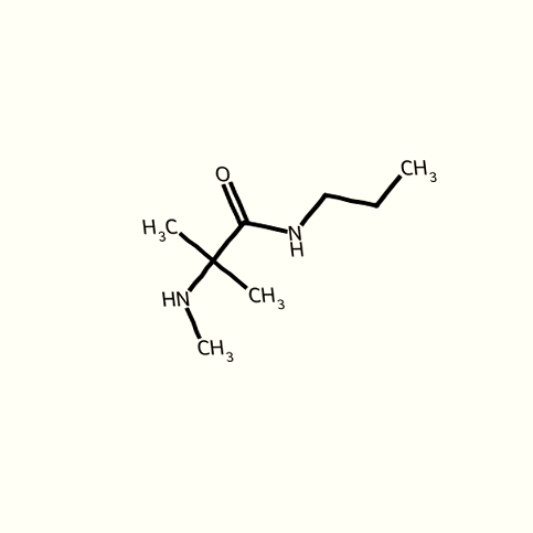 CCCNC(=O)C(C)(C)NC